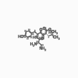 CC(C)C[C@H](NC(=O)[C@H](Cc1ccc(O)cc1)NC(=O)[C@@H](N)CN)C(=O)O